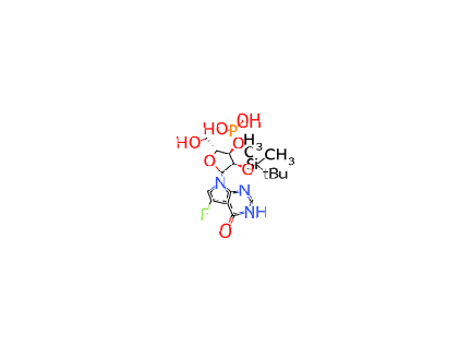 CC(C)(C)[Si](C)(C)O[C@@H]1[C@H](OP(O)O)[C@@H](CO)O[C@H]1n1cc(F)c2c(=O)[nH]cnc21